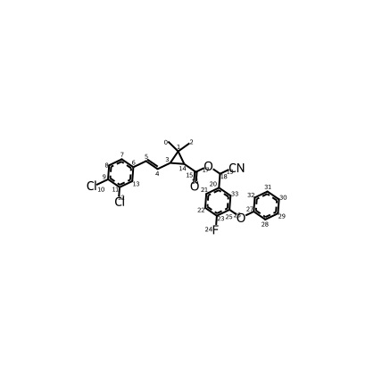 CC1(C)C(C=Cc2ccc(Cl)c(Cl)c2)C1C(=O)OC(C#N)c1ccc(F)c(Oc2ccccc2)c1